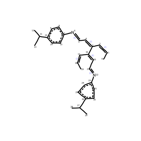 C\C=C/C(=C/C=N/c1ccc(C(C)C)cc1)C(/C=C\C)=C/C=N/c1ccc(C(C)C)cc1